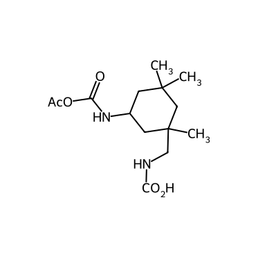 CC(=O)OC(=O)NC1CC(C)(C)CC(C)(CNC(=O)O)C1